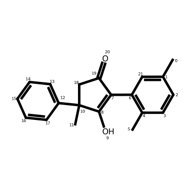 Cc1ccc(C)c(C2=C(O)C(C)(c3ccccc3)CC2=O)c1